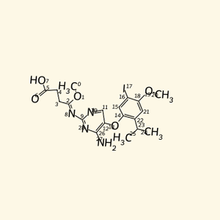 COC(CCC(=O)O)=Nc1ncc(Oc2cc(I)c(OC)cc2C(C)C)c(N)n1